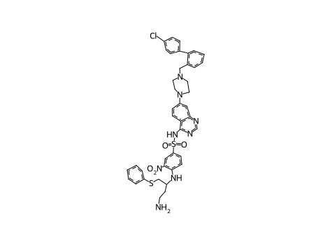 NCCC(CSc1ccccc1)Nc1ccc(S(=O)(=O)Nc2ncnc3cc(N4CCN(Cc5ccccc5-c5ccc(Cl)cc5)CC4)ccc23)cc1[N+](=O)[O-]